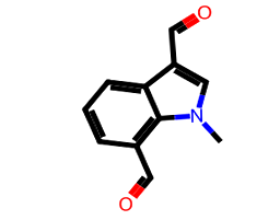 Cn1cc(C=O)c2cccc(C=O)c21